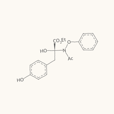 CCOC(=O)[C@](O)(Cc1ccc(O)cc1)N(Oc1ccccc1)C(C)=O